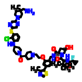 Cc1ncsc1-c1ccc(CNC(=O)[C@@H]2C[C@@H](O)CN2C(=O)[C@@H](NC(=O)C2(F)CC2)C(C)(C)C)c(OCCN2CCC(C(=O)N3CCC(Nc4cccc(Sc5cnc(N6CCC(C)(CN)CC6)cn5)c4Cl)CC3)CC2)c1